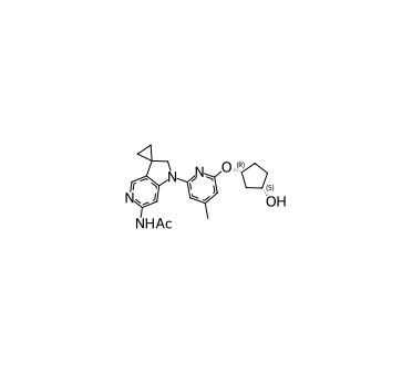 CC(=O)Nc1cc2c(cn1)C1(CC1)CN2c1cc(C)cc(O[C@@H]2CC[C@H](O)C2)n1